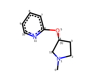 CN1CC[C@H](Oc2ccccn2)C1